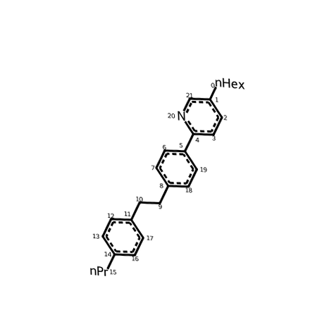 CCCCCCc1ccc(-c2ccc(CCc3ccc(CCC)cc3)cc2)nc1